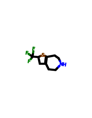 FC(F)(F)C1CC2=C(CCNCC2)S1